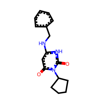 O=c1cc(NCc2ccccc2)[nH]c(=O)n1C1CCCC1